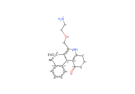 CCOC(=O)C1=C(COCCN)NC2=C(C(=O)CCC2)C1c1ccccc1C#N